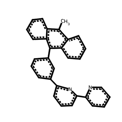 Cc1c2ccccc2c(-c2cccc(-c3cccc(-c4ccccn4)n3)c2)c2ccccc12